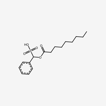 CCCCCCCCC(=O)OC(c1ccccc1)S(=O)(=O)O